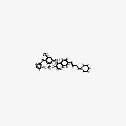 Cn1ccnc1Sc1ccc(Nc2c(C#N)cnc3cc(C=CCCN4CCCCC4)ccc23)cc1Cl